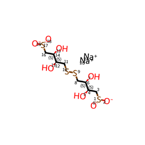 O=S([O-])C[C@@H](O)[C@H](O)CSSC[C@@H](O)[C@H](O)CS(=O)[O-].[Na+].[Na+]